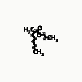 C=C(CCCCCC)C(=O)OCCC